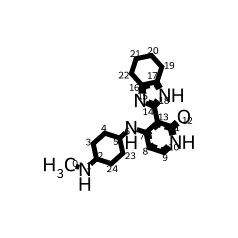 CNC1CCC(Nc2cc[nH]c(=O)c2-c2nc3c([nH]2)CCCC3)CC1